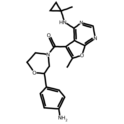 Cc1oc2ncnc(NC3(C)CC3)c2c1C(=O)N1CCOC(c2ccc(N)cc2)C1